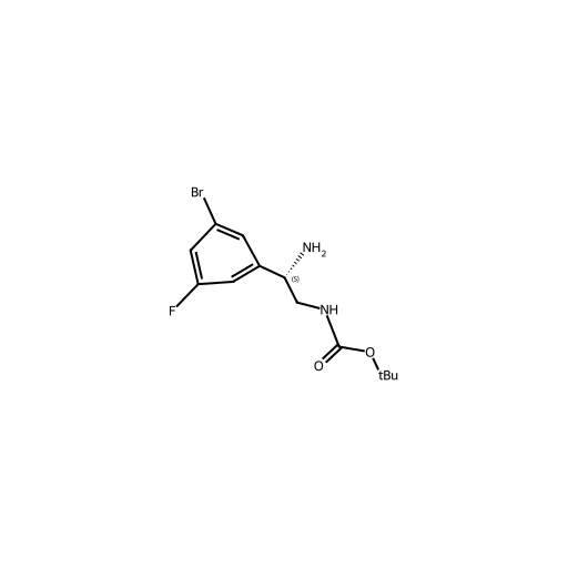 CC(C)(C)OC(=O)NC[C@@H](N)c1cc(F)cc(Br)c1